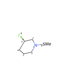 CSN1CCC[C@@H](F)C1